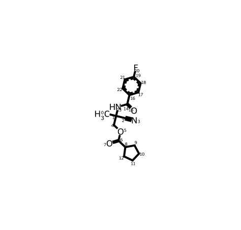 CC(C#N)(COC(=O)C1CCCC1)NC(=O)c1ccc(F)cc1